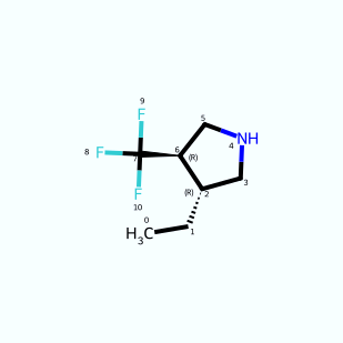 CC[C@H]1CNC[C@@H]1C(F)(F)F